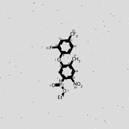 CCO[PH](=O)c1cc(Oc2ccc(C(F)(F)F)cc2F)c(C)cc1[N+](=O)[O-]